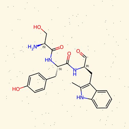 Cc1[nH]c2ccccc2c1C[C@H]([C]=O)NC(=O)[C@H](Cc1ccc(O)cc1)NC(=O)[C@@H](N)CO